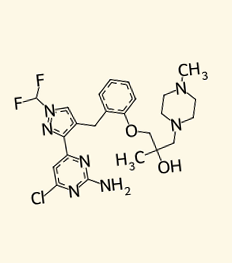 CN1CCN(CC(C)(O)COc2ccccc2Cc2cn(C(F)F)nc2-c2cc(Cl)nc(N)n2)CC1